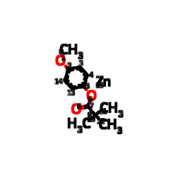 COc1ccc(OC(=O)C(C)(C)C)cc1.[Zn]